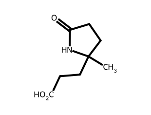 CC1(CCC(=O)O)CCC(=O)N1